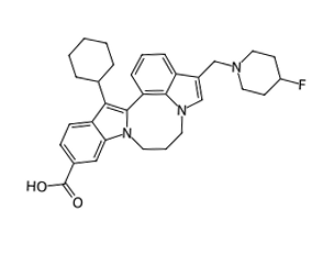 O=C(O)c1ccc2c(C3CCCCC3)c3n(c2c1)CCCn1cc(CN2CCC(F)CC2)c2cccc-3c21